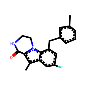 Cc1cccc(Cc2cc(F)cc3c(C)c4n(c23)CCNC4=O)c1